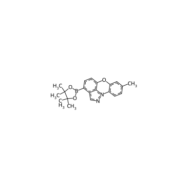 Cc1ccc2c(c1)Oc1ccc(B3OC(C)(C)C(C)(C)O3)c3cnn-2c13